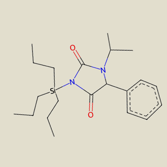 CCC[Si](CCC)(CCC)N1C(=O)C(c2ccccc2)N(C(C)C)C1=O